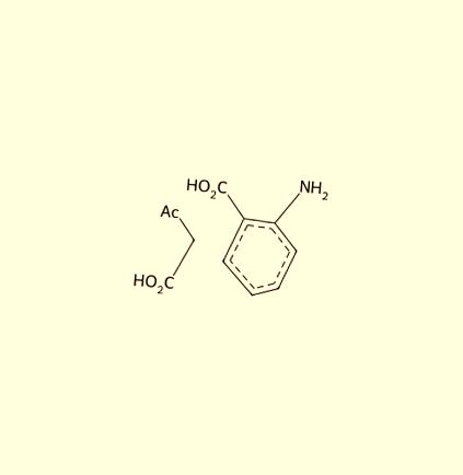 CC(=O)CC(=O)O.Nc1ccccc1C(=O)O